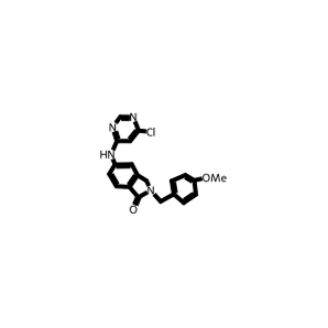 COc1ccc(CN2Cc3cc(Nc4cc(Cl)ncn4)ccc3C2=O)cc1